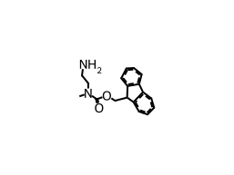 CN(CCN)C(=O)OCC1c2ccccc2-c2ccccc21